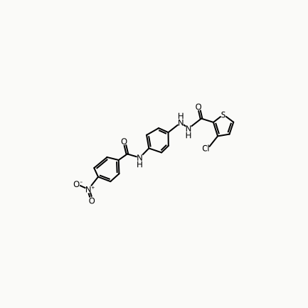 O=C(Nc1ccc(NNC(=O)c2sccc2Cl)cc1)c1ccc([N+](=O)[O-])cc1